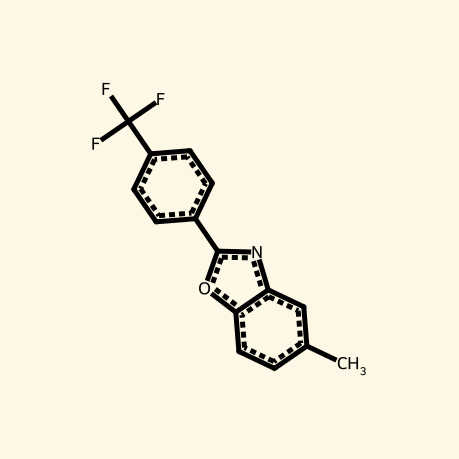 Cc1ccc2oc(-c3ccc(C(F)(F)F)cc3)nc2c1